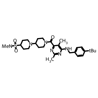 CNS(=O)(=O)C1CCN(C2CCN(C(=O)c3nc(C)nc(NCc4ccc(C(C)(C)C)cc4)c3C)CC2)CC1